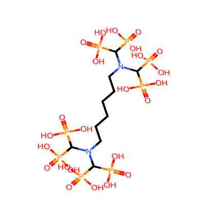 O=P(O)(O)C(N(CCCCCCN(C(P(=O)(O)O)P(=O)(O)O)C(P(=O)(O)O)P(=O)(O)O)C(P(=O)(O)O)P(=O)(O)O)P(=O)(O)O